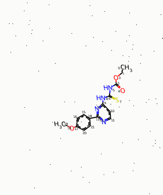 CCOC(=O)NC(=S)Nc1ccnc(-c2ccc(OC)cc2)n1